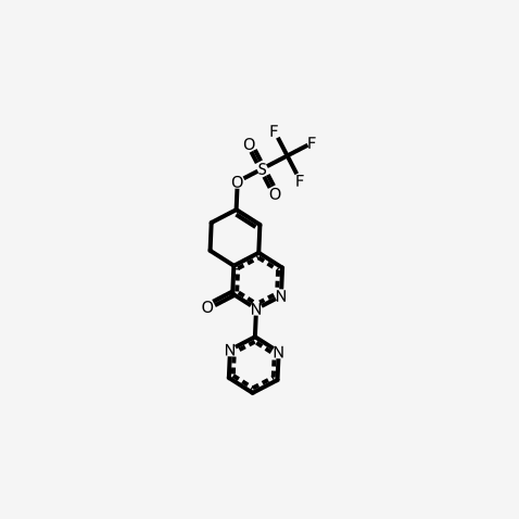 O=c1c2c(cnn1-c1ncccn1)C=C(OS(=O)(=O)C(F)(F)F)CC2